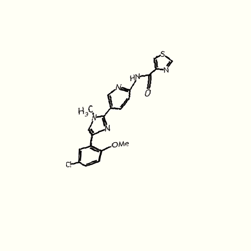 COc1ccc(Cl)cc1-c1cn(C)c(-c2ccc(NC(=O)c3cscn3)nc2)n1